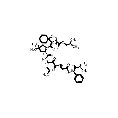 CCC[C@H](NC(=O)[C@@H]1CC(C)(C)CN1C(=O)[C@@H](NC(=O)OCC(C)C)C1(C)CCCCC1)C(=O)C(=O)NCC(=O)N[C@H](C(=O)N(C)C)c1ccccc1